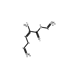 C=CCC=C(C)C(=O)OC=C